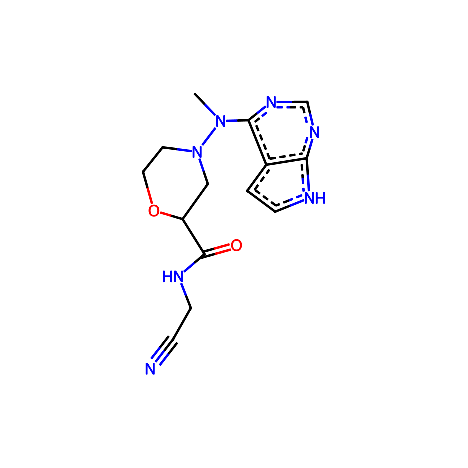 CN(c1ncnc2[nH]ccc12)N1CCOC(C(=O)NCC#N)C1